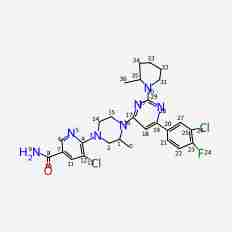 CC1CN(c2ncc(C(N)=O)cc2Cl)CCN1c1cc(-c2ccc(F)c(Cl)c2)nc(N2CCCCC2C)n1